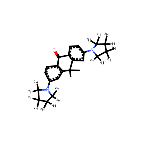 [2H]C1([2H])N(c2ccc3c(c2)C(C)(C)c2cc(N4C([2H])([2H])C([2H])([2H])C([2H])([2H])C4([2H])[2H])ccc2C3=O)C([2H])([2H])C([2H])([2H])C1([2H])[2H]